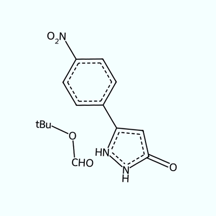 CC(C)(C)OC=O.O=c1cc(-c2ccc([N+](=O)[O-])cc2)[nH][nH]1